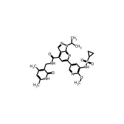 COc1ncc(-c2cc(C(=O)NCc3c(C)cc(C)[nH]c3=O)c3cnn(C(C)C)c3n2)cc1NS(=O)(=O)C1CC1